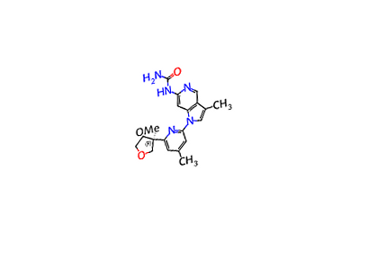 CO[C@@]1(c2cc(C)cc(-n3cc(C)c4cnc(NC(N)=O)cc43)n2)CCOC1